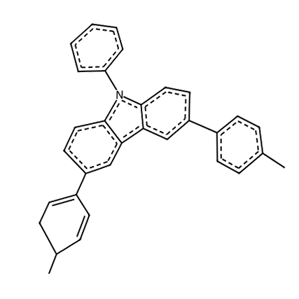 Cc1ccc(-c2ccc3c(c2)c2cc(C4=CCC(C)C=C4)ccc2n3-c2ccccc2)cc1